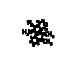 CCC(C)c1ccccc1N1N=C2COCC=C2C(C#N)=C1N